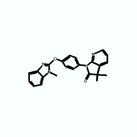 Cn1c(Oc2ccc(N3C(=O)C(C)(C)c4cccnc43)cc2)nc2ccccc21